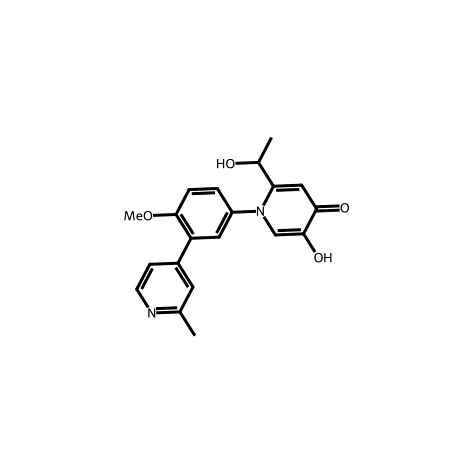 COc1ccc(-n2cc(O)c(=O)cc2C(C)O)cc1-c1ccnc(C)c1